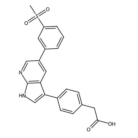 CS(=O)(=O)c1cccc(-c2cnc3[nH]cc(-c4ccc(CC(=O)O)cc4)c3c2)c1